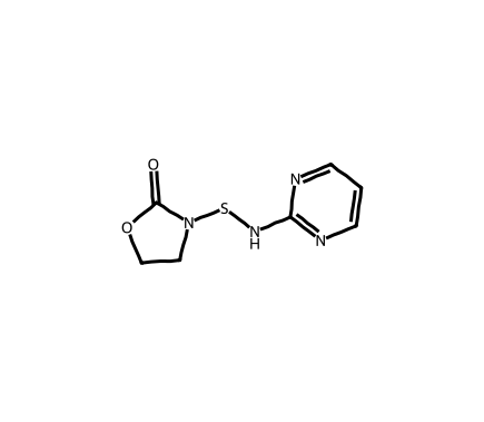 O=C1OCCN1SNc1ncccn1